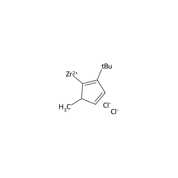 CC1C=CC(C(C)(C)C)=[C]1[Zr+2].[Cl-].[Cl-]